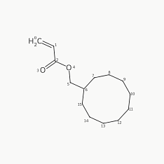 C=CC(=O)OCC1CCCCCCCCC1